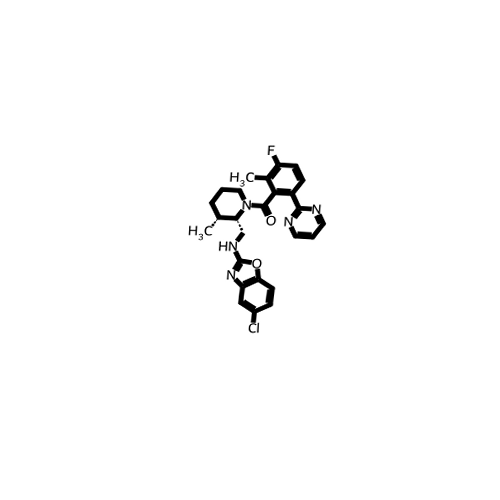 Cc1c(F)ccc(-c2ncccn2)c1C(=O)N1CCC[C@@H](C)[C@H]1CNc1nc2cc(Cl)ccc2o1